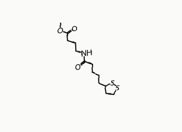 COC(=O)CCCNC(=O)CCCCC1CCSS1